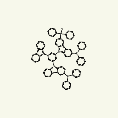 O=P(c1ccccc1)(c1ccccc1)c1ccc2c(c1)c1cc(P(c3ccccc3)c3ccccc3)ccc1n2-c1cc(-n2c3ccccc3c3ccccc32)cc(-n2c3ccccc3c3cc(P(c4ccccc4)c4ccccc4)ccc32)c1